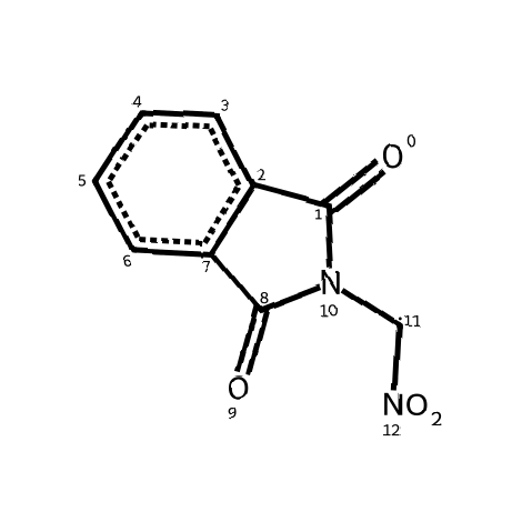 O=C1c2ccccc2C(=O)N1[CH][N+](=O)[O-]